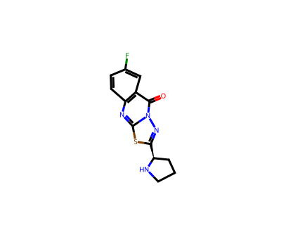 O=c1c2cc(F)ccc2nc2sc([C@H]3CCCN3)nn12